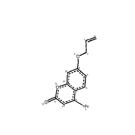 C=CCOc1ccc2c(CCC)cc(=O)oc2c1